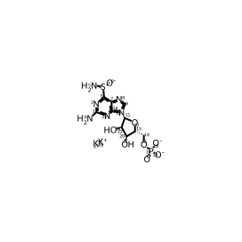 Nc1nc([S+](N)[O-])c2ncn([C@@H]3O[C@H](COP(=O)([O-])[O-])[C@@H](O)[C@H]3O)c2n1.[K+].[K+]